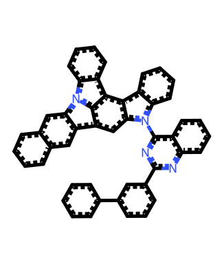 c1ccc(-c2cccc(-c3nc(-n4c5ccccc5c5c6c7ccccc7n7c8cc9ccccc9cc8c(cc54)c67)c4ccccc4n3)c2)cc1